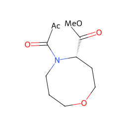 COC(=O)[C@@H]1CCOCCCN1C(=O)C(C)=O